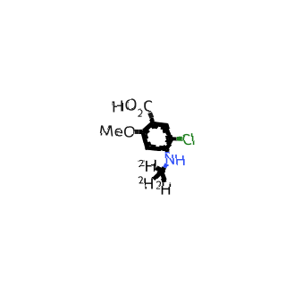 [2H]C([2H])([2H])Nc1cc(OC)c(C(=O)O)cc1Cl